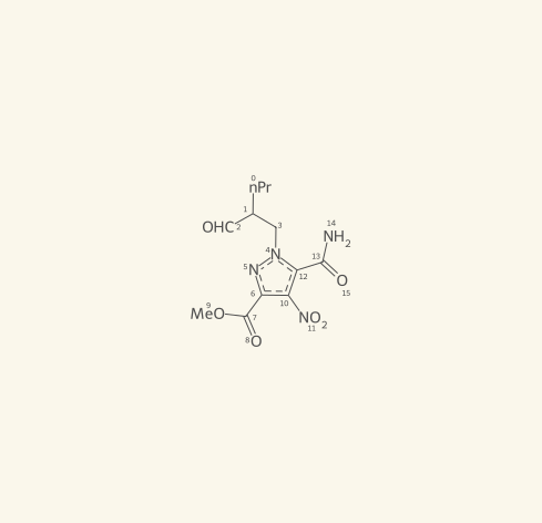 CCCC(C=O)Cn1nc(C(=O)OC)c([N+](=O)[O-])c1C(N)=O